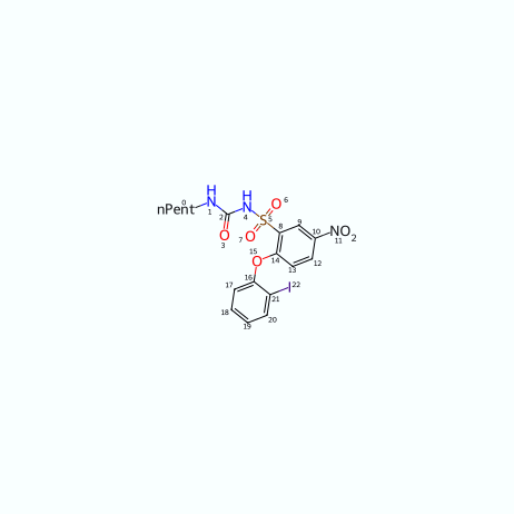 CCCCCNC(=O)NS(=O)(=O)c1cc([N+](=O)[O-])ccc1Oc1ccccc1I